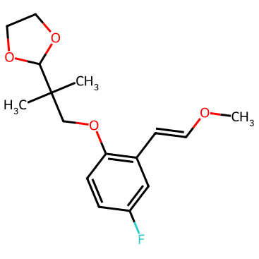 COC=Cc1cc(F)ccc1OCC(C)(C)C1OCCO1